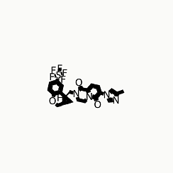 Cc1cn(-c2ccc3n(c2=O)CCN(C[C@@]24C[C@@H]2COc2ccc(S(F)(F)(F)(F)F)cc24)C3=O)cn1